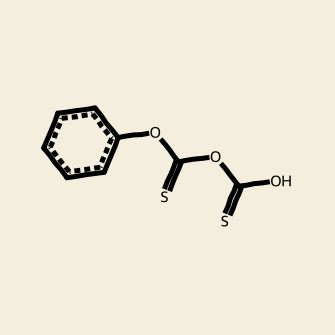 OC(=S)OC(=S)Oc1ccccc1